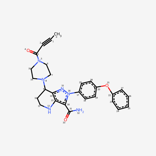 CC#CC(=O)N1CCN(C2CCNc3c2nn(-c2ccc(Oc4ccccc4)cc2)c3C(N)=O)CC1